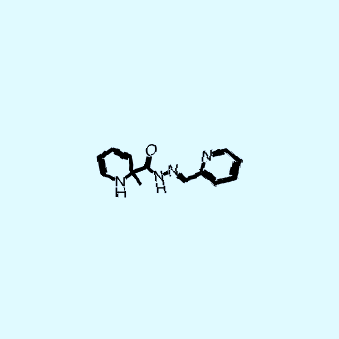 CC1(C(=O)NN=Cc2ccccn2)C=CC=CN1